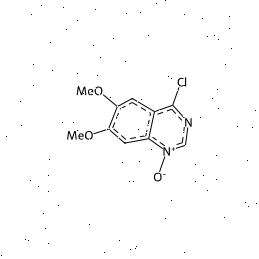 COc1cc2c(Cl)nc[n+]([O-])c2cc1OC